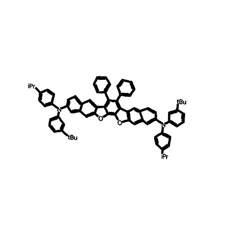 CC(C)c1ccc(N(c2cccc(C(C)(C)C)c2)c2ccc3cc4c(cc3c2)oc2c3oc5cc6cc(N(c7ccc(C(C)C)cc7)c7cccc(C(C)(C)C)c7)ccc6cc5c3c(-c3ccccc3)c(-c3ccccc3)c42)cc1